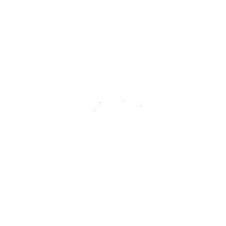 CCC(C)NC(=S)N=c1ccn(-c2ccccc2)nc1